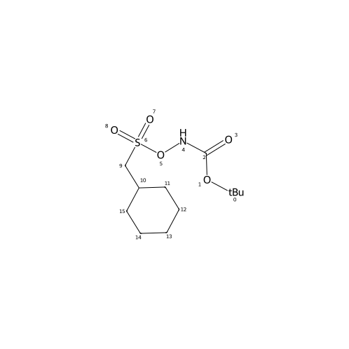 CC(C)(C)OC(=O)NOS(=O)(=O)CC1CCCCC1